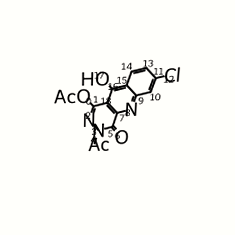 CC(=O)Oc1nn(C(C)=O)c(=O)c2nc3cc(Cl)ccc3c(O)c12